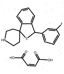 Fc1cccc(C2SC3(CCNCC3)c3ccccc32)c1.O=C(O)/C=C\C(=O)O